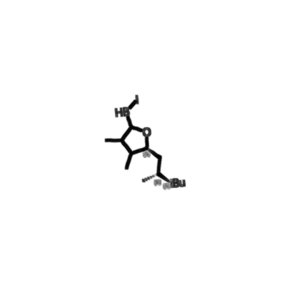 CC[C@H](C)[C@H](C)C[C@@H]1OC(BI)C(C)C1C